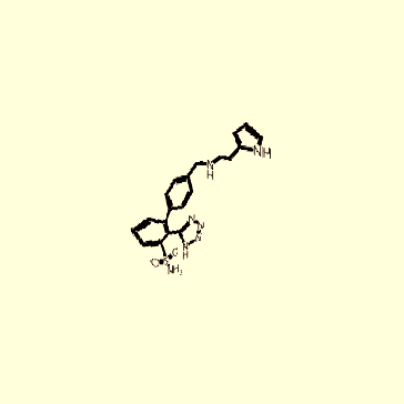 NS(=O)(=O)c1cccc(-c2ccc(CNCCc3ccc[nH]3)cc2)c1-c1nnn[nH]1